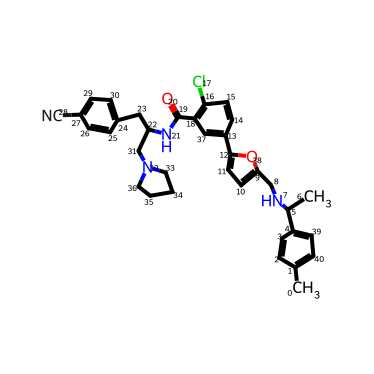 Cc1ccc(C(C)NCc2ccc(-c3ccc(Cl)c(C(=O)NC(Cc4ccc(C#N)cc4)CN4CCCC4)c3)o2)cc1